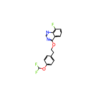 Fc1cccc2c(OCCc3ccc(OC(F)F)cc3)ncnc12